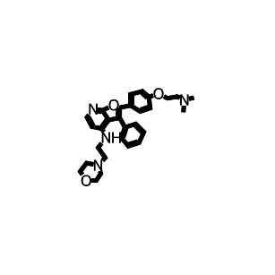 CN(C)CCOc1ccc(-c2oc3nccc(NCCN4CCOCC4)c3c2-c2ccccc2)cc1